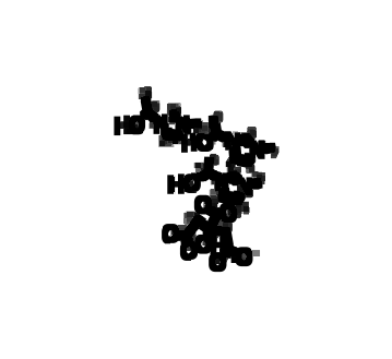 CC(O)[n+]1ccn(C)c1.CC(O)[n+]1ccn(C)c1.CC(O)[n+]1ccn(C)c1.O=C([O-])CC(O)(CC(=O)[O-])C(=O)[O-]